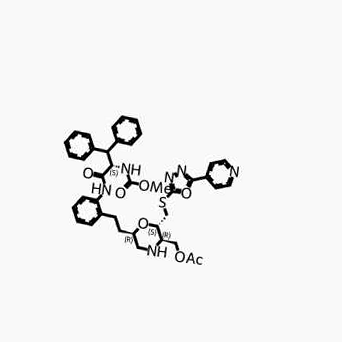 COC(=O)N[C@H](C(=O)Nc1ccccc1CC[C@@H]1CN[C@H](COC(C)=O)[C@@H](CSc2nnc(-c3ccncc3)o2)O1)C(c1ccccc1)c1ccccc1